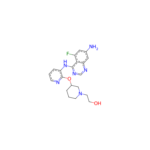 Nc1cc(F)c2c(Nc3cccnc3OC3CCCN(CCO)C3)ncnc2c1